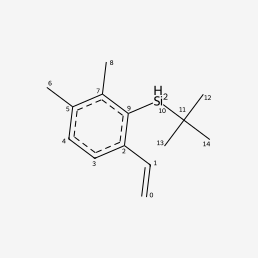 C=Cc1ccc(C)c(C)c1[SiH2]C(C)(C)C